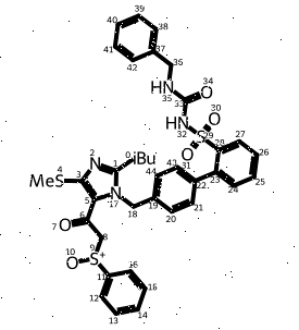 CCC(C)c1nc(SC)c(C(=O)C[S+]([O-])c2ccccc2)n1Cc1ccc(-c2ccccc2S(=O)(=O)NC(=O)NCc2ccccc2)cc1